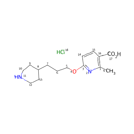 Cc1nc(OCCCC2CCNCC2)ccc1C(=O)O.Cl